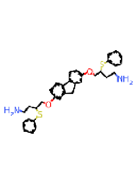 NCCC(COc1ccc2c(c1)Cc1cc(OCC(CCN)Sc3ccccc3)ccc1-2)Sc1ccccc1